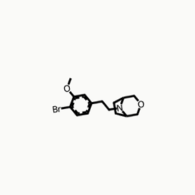 COc1cc(CCN2C3CCC2COC3)ccc1Br